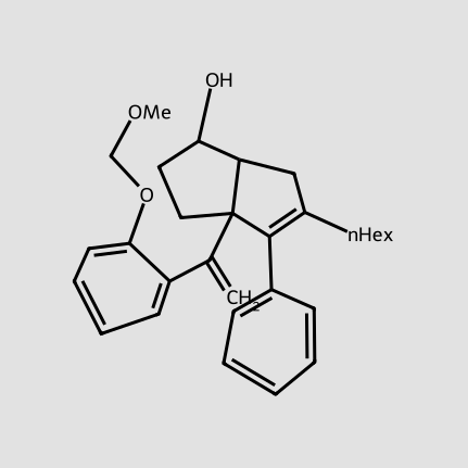 C=C(c1ccccc1OCOC)C12CCC(O)C1CC(CCCCCC)=C2c1ccccc1